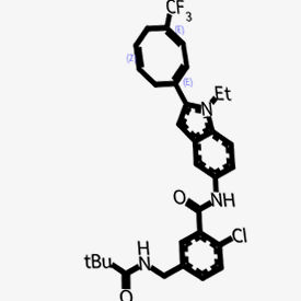 CCn1c(/C2=C/C=C(/C(F)(F)F)C/C=C\C2)cc2cc(NC(=O)c3cc(CNC(=O)C(C)(C)C)ccc3Cl)ccc21